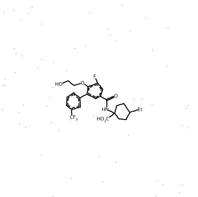 CCC1CCC(NC(=O)c2cc(F)c(OCCO)c(-c3cccc(C(F)(F)F)c3)c2)(C(=O)O)CC1